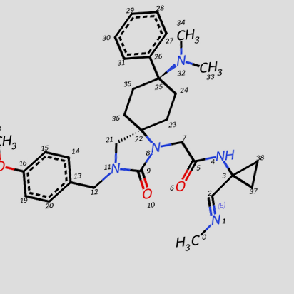 C/N=C/C1(NC(=O)CN2C(=O)N(Cc3ccc(OC)cc3)C[C@]23CC[C@](c2ccccc2)(N(C)C)CC3)CC1